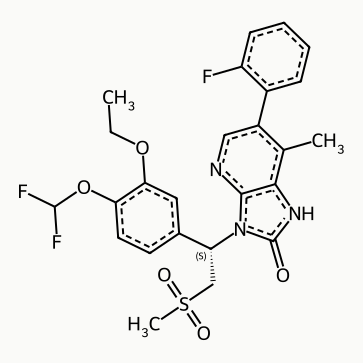 CCOc1cc([C@@H](CS(C)(=O)=O)n2c(=O)[nH]c3c(C)c(-c4ccccc4F)cnc32)ccc1OC(F)F